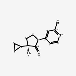 N#C[C@@]1(C2CC2)CCN(c2ccnc(Br)c2)C1=O